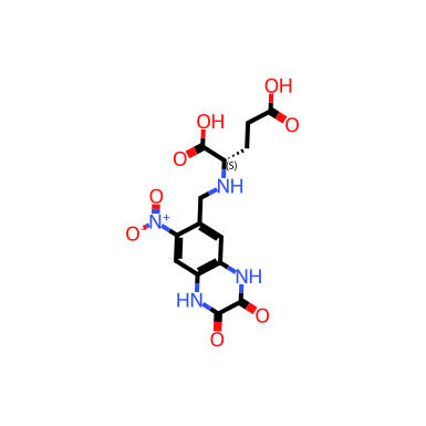 O=C(O)CC[C@H](NCc1cc2[nH]c(=O)c(=O)[nH]c2cc1[N+](=O)[O-])C(=O)O